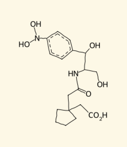 O=C(O)CC1(CC(=O)NC(CO)C(O)c2ccc(N(O)O)cc2)CCCC1